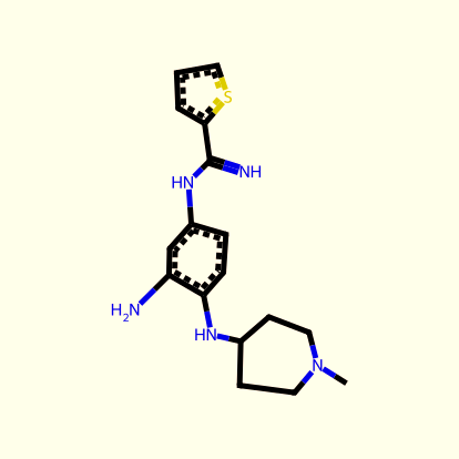 CN1CCC(Nc2ccc(NC(=N)c3cccs3)cc2N)CC1